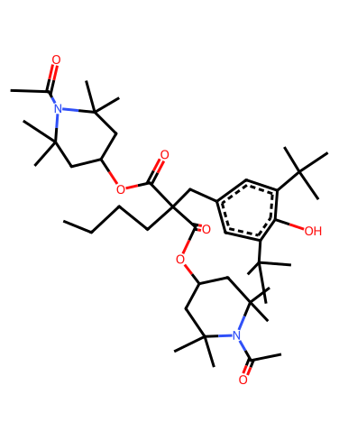 CCCCC(Cc1cc(C(C)(C)C)c(O)c(C(C)(C)C)c1)(C(=O)OC1CC(C)(C)N(C(C)=O)C(C)(C)C1)C(=O)OC1CC(C)(C)N(C(C)=O)C(C)(C)C1